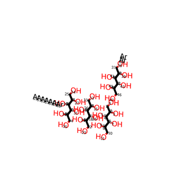 OC[C@@H](O)[C@@H](O)[C@H](O)[C@H](O)CO.OC[C@@H](O)[C@@H](O)[C@H](O)[C@H](O)CO.OC[C@@H](O)[C@@H](O)[C@H](O)[C@H](O)CO.OC[C@@H](O)[C@@H](O)[C@H](O)[C@H](O)CO.[Ar].[Ar].[Ar].[Ar].[Ar].[Ar].[Ar].[Ar].[Ar]